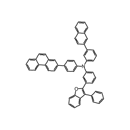 c1ccc(-c2c(-c3cccc(N(c4ccc(-c5ccc6c(ccc7ccccc76)c5)cc4)c4cccc(-c5ccc6ccccc6c5)c4)c3)oc3ccccc23)cc1